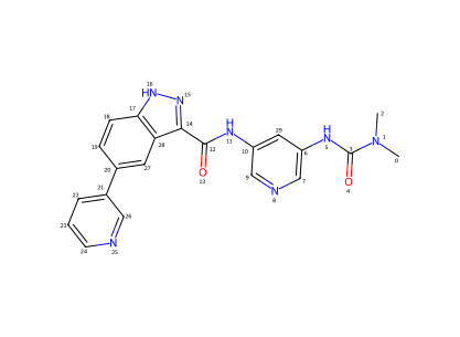 CN(C)C(=O)Nc1cncc(NC(=O)c2n[nH]c3ccc(-c4cccnc4)cc23)c1